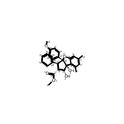 COC(=O)[C@H]1[C@@H](O)[C@@]2(O)c3c(C)cc(C)cc3O[C@@]2(c2ccc(OC)cc2)[C@@H]1c1ccccc1